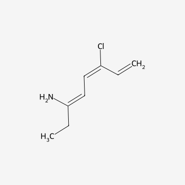 C=C/C(Cl)=C\C=C(/N)CC